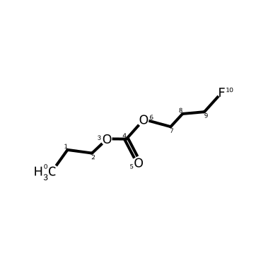 CCCOC(=O)OCCCF